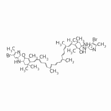 CC(C=CC=C(C)C=CC1=C(C)C(=O)C(Nc2cnc(C)c(Br)c2)CC1(C)C)=CC=CC=C(C)C=CC=C(C)C=CC1=C(C)C(=O)C(N)(Nc2cnc(C)c(Br)c2)CC1(C)C